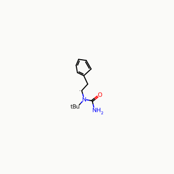 CC(C)(C)N([CH]Cc1ccccc1)C(N)=O